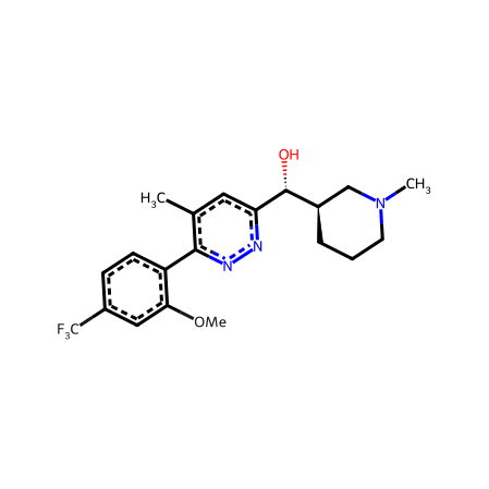 COc1cc(C(F)(F)F)ccc1-c1nnc([C@H](O)[C@@H]2CCCN(C)C2)cc1C